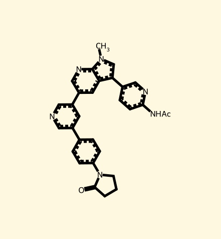 CC(=O)Nc1ccc(-c2cn(C)c3ncc(-c4cncc(-c5ccc(N6CCCC6=O)cc5)c4)cc23)cn1